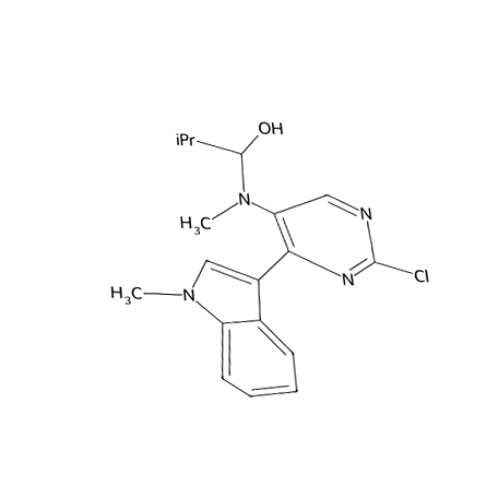 CC(C)C(O)N(C)c1cnc(Cl)nc1-c1cn(C)c2ccccc12